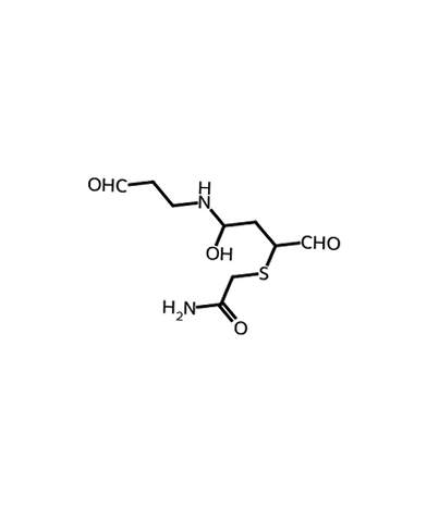 NC(=O)CSC(C=O)CC(O)NCCC=O